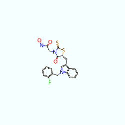 O=NC(=O)CN1C(=O)/C(=C\c2cn(Cc3ccccc3F)c3ccccc23)SC1=S